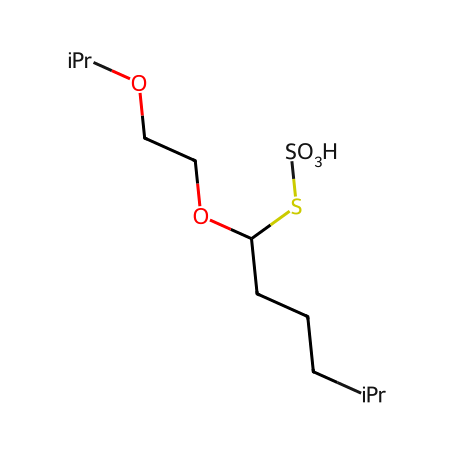 CC(C)CCCC(OCCOC(C)C)SS(=O)(=O)O